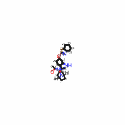 CC(=O)N[C@H]1C[C@H]2CC[C@@H](C1)N2Cc1c[nH]c2cc(Oc3nc4ccccc4s3)ccc12